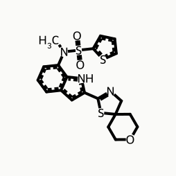 CN(c1cccc2cc(C3=NCC4(CCOCC4)S3)[nH]c12)S(=O)(=O)c1cccs1